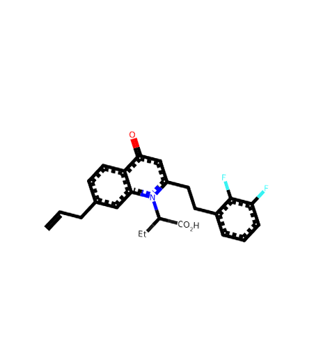 C=CCc1ccc2c(=O)cc(CCc3cccc(F)c3F)n(C(CC)C(=O)O)c2c1